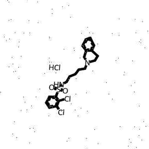 Cl.O=S(=O)(NCCCCCN1CCc2ccccc2C1)c1cccc(Cl)c1Cl